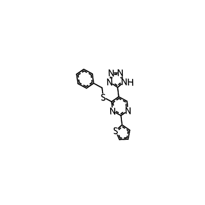 c1ccc(CSc2nc(-c3cccs3)ncc2-c2nnn[nH]2)cc1